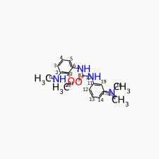 CNc1cccc(NC(=O)Nc2cccc(N(C)C)c2)c1OC